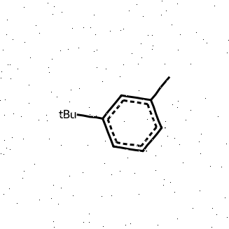 Cc1[c][c]cc(C(C)(C)C)c1